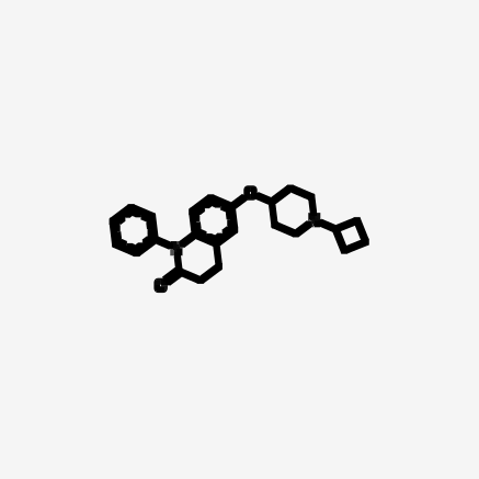 O=C1CCc2cc(OC3CCN(C4CCC4)CC3)ccc2N1c1ccccc1